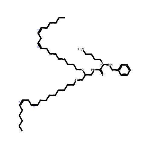 CCCCC/C=C\C/C=C\CCCCCCCCOCC(CNC(=O)[C@@H](CCCCN)NCc1ccccc1)OCCCCCCCC/C=C\C/C=C\CCCCC